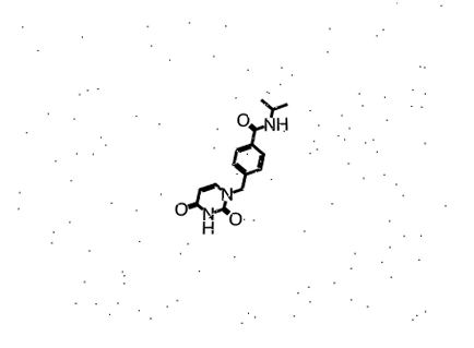 CC(C)NC(=O)c1ccc(Cn2ccc(=O)[nH]c2=O)cc1